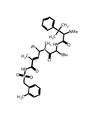 CNC(C(=O)NC(C(=O)N(C)C(/C=C(\C)C(=O)NS(=O)(=O)Cc1ccccc1C)C(C)C)C(C)(C)C)C(C)(C)c1ccccc1